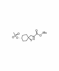 CC(C)(C)OC(=O)NC[C@]1(F)CC[C@H](OS(C)(=O)=O)CC1